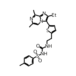 CCc1nc2c(C)nc(C)cn2c1-c1ccc(CCNC(=O)NS(=O)(=O)c2ccc(C)cc2)s1